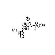 COc1nc2ccccc2cc1-c1cnc([C@H](CCCCNC(=O)OC(C)(C)C)NC(=O)c2cncs2)[nH]1